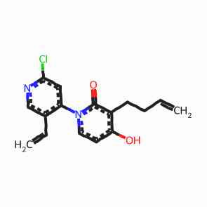 C=CCCc1c(O)ccn(-c2cc(Cl)ncc2C=C)c1=O